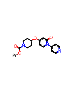 CC(C)OC(=O)N1CCC(Oc2ccn(-c3ccncc3)c(=O)c2)CC1